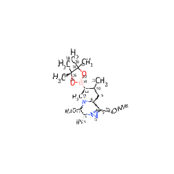 COC1=N[C@H](C(C)C)C(OC)=N[C@H]1CC(C)[C@@H](C)B1OC(C)(C)C(C)(C)O1